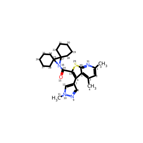 Cc1cc(C)c2c(-c3cnn(C)c3)c(C(=O)N3C4(CCCCC4)C34CCCCC4)sc2n1